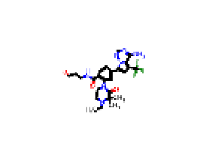 CCN1CCN(c2cc(-c3cc(C(F)(F)F)c4c(N)ncnn34)ccc2C(=O)NCCCO)C(=O)C1(C)C